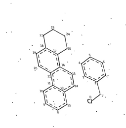 ClCc1ccccc1.c1ccc2c(c1)ccc1c3c(ccc12)CCCC3